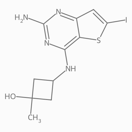 CC1(O)CC(Nc2nc(N)nc3cc(I)sc23)C1